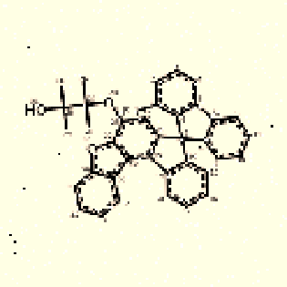 Bc1cccc2c1C1(c3ccccc3-2)c2ccccc2-c2c1cc(OC(C)(C)C(C)(C)O)c1oc3ccccc3c21